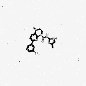 CC1=CNC(NC(=O)N2CCN(C)c3ccc(-c4cccc(C(F)(F)F)c4)nc32)S1